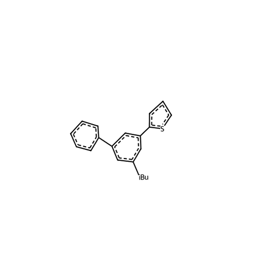 CCC(C)c1cc(-c2ccccc2)cc(-c2cccs2)c1